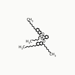 CCCCCCCCc1ccc2cc(OC(=O)c3ccccc3C(=O)Oc3cc4ccc(CCCCCCCC)cc4cc3CCCCCCCC)c(CCCCCCCC)cc2c1